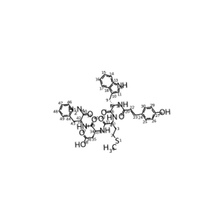 CSCC[C@H](NC(=O)[C@H](Cc1c[nH]c2ccccc12)NC(=O)C=Cc1ccc(O)cc1)C(=O)N[C@@H](CC(=O)O)C(=O)N[C@@H](Cc1ccccc1)C(N)=O